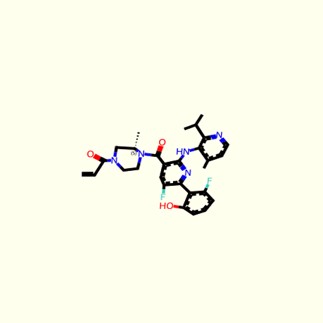 C=CC(=O)N1CCN(C(=O)c2cc(F)c(-c3c(O)cccc3F)nc2Nc2c(C)ccnc2C(C)C)[C@@H](C)C1